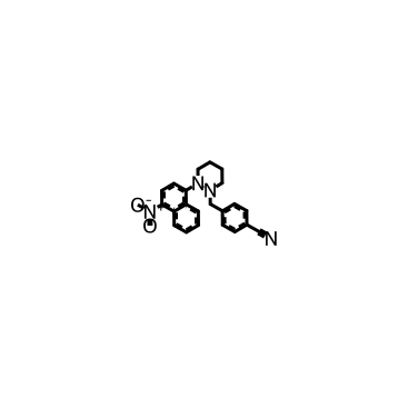 N#Cc1ccc(CN2CCCCN2c2ccc([N+](=O)[O-])c3ccccc23)cc1